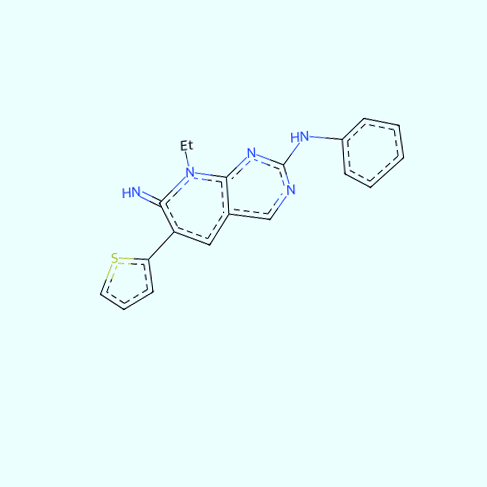 CCn1c(=N)c(-c2cccs2)cc2cnc(Nc3ccccc3)nc21